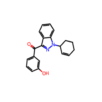 O=C(c1cccc(O)c1)c1nn(C2C=CCCC2)c2ccccc12